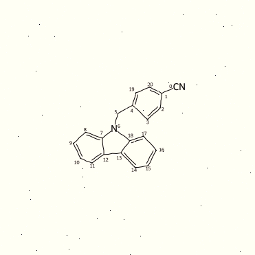 N#Cc1ccc(Cn2c3ccccc3c3ccccc32)cc1